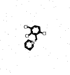 Clc1ccc(Cl)c(C[n+]2ccccc2)c1Cl